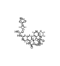 Cc1c(-c2cc3cc(NC(O)OC4CN(C(=O)OC(C)(C)C)C4)ncc3c(NC(=O)OC(C)(C)C)c2F)cnc2c1N(C(=O)OC(C)(C)C)CCC2